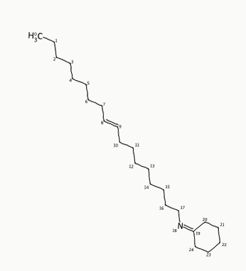 CCCCCCCCC=CCCCCCCCCN=C1CCCCC1